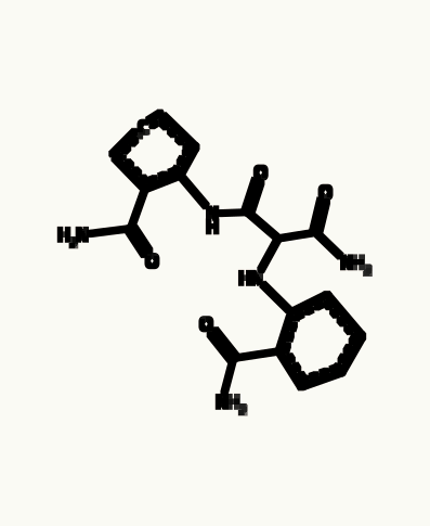 NC(=O)c1ccccc1NC(=O)C(Nc1ccccc1C(N)=O)C(N)=O